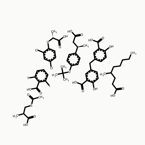 CC(=O)SCC(C)C(=O)O.CCCCCC(C)CCC(=O)O.C[C@@H](Oc1ccc(Cl)cc1Cl)C(=O)O.C[C@H](CC(=O)O)c1ccc(OC(C)(C)C)cc1.O=C(O)c1c(F)cccc1I.O=C(O)c1cc(Cc2ccc(O)c(C(=O)O)c2)ccc1O